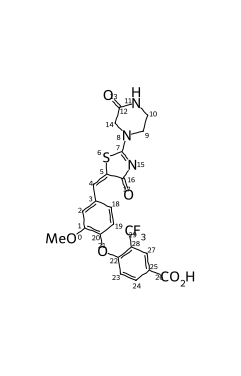 COc1cc(C=C2SC(N3CCNC(=O)C3)=NC2=O)ccc1Oc1ccc(C(=O)O)cc1C(F)(F)F